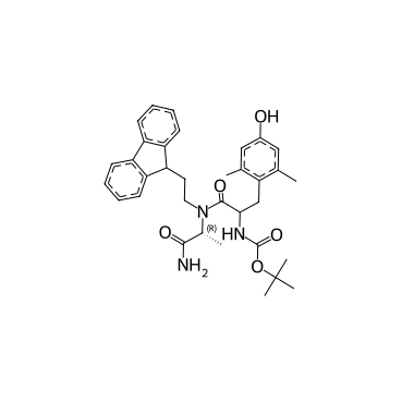 Cc1cc(O)cc(C)c1CC(NC(=O)OC(C)(C)C)C(=O)N(CCC1c2ccccc2-c2ccccc21)[C@H](C)C(N)=O